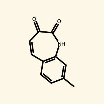 Cc1ccc2ccc(=O)c(=O)[nH]c2c1